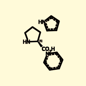 O=C(O)[C@@H]1CCCN1.c1cc[nH]c1.c1ccncc1